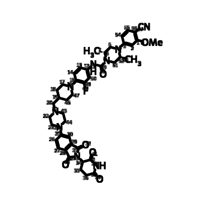 COc1cc(N2C[C@@H](C)N(C(=O)Nc3ccc(N4CCC(CN5CCN(c6ccc7c(c6)C(=O)N(C6CCC(=O)NC6=O)C7=O)CC5)CC4)c(F)c3)C[C@@H]2C)ccc1C#N